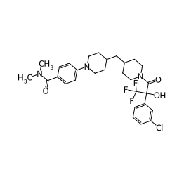 CN(C)C(=O)c1ccc(N2CCC(CC3CCN(C(=O)C(O)(c4cccc(Cl)c4)C(F)(F)F)CC3)CC2)cc1